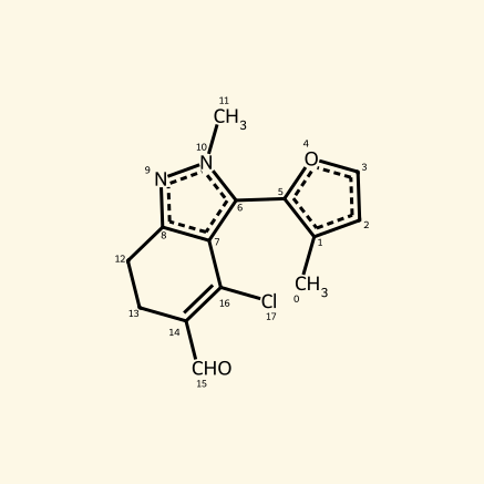 Cc1ccoc1-c1c2c(nn1C)CCC(C=O)=C2Cl